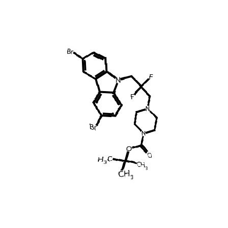 CC(C)(C)OC(=O)N1CCN(CC(F)(F)Cn2c3ccc(Br)cc3c3cc(Br)ccc32)CC1